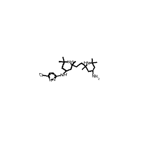 CC1(C)CC(N)CC(C)(CCC2(C)CC(Nc3ccc(Cl)nn3)CC(C)(C)N2)N1